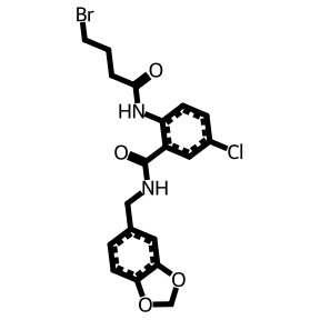 O=C(CCCBr)Nc1ccc(Cl)cc1C(=O)NCc1ccc2c(c1)OCO2